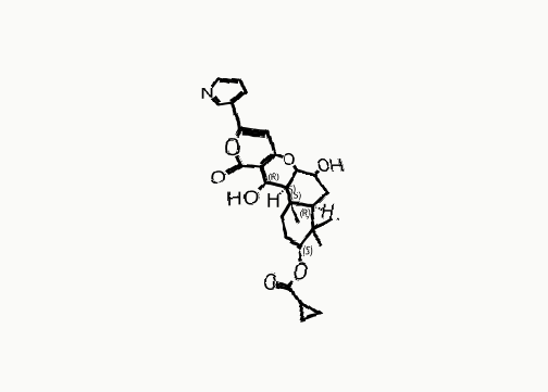 [CH2]C1(C)[C@@H](OC(=O)C2CC2)CC[C@]2(C)[C@@H]3C(Oc4cc(-c5cccnc5)oc(=O)c4[C@@H]3O)C(O)C[C@@H]12